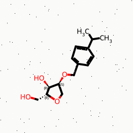 CC(C)c1ccc(CO[C@H]2CO[C@H](CO)[C@H]2O)cc1